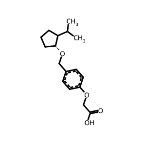 CC(C)C1CCC[C@H]1OCc1ccc(OCC(=O)O)cc1